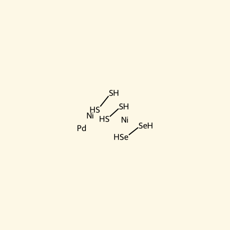 SS.SS.[Ni].[Ni].[Pd].[SeH][SeH]